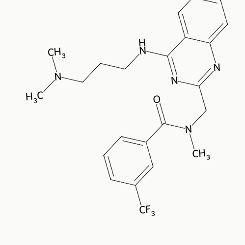 CN(C)CCCNc1nc(CN(C)C(=O)c2cccc(C(F)(F)F)c2)nc2ccccc12